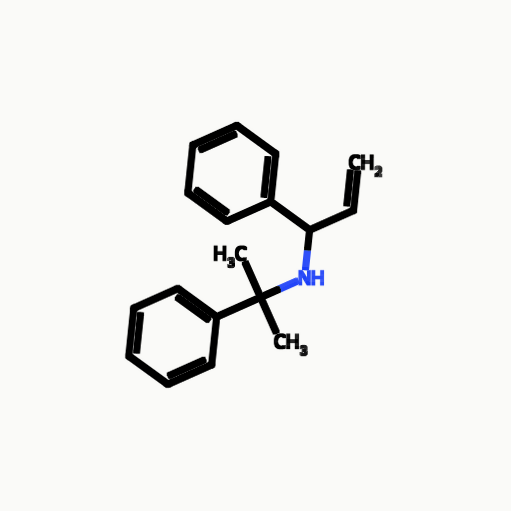 C=CC(NC(C)(C)c1ccccc1)c1ccccc1